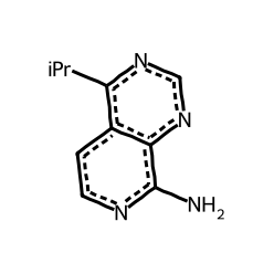 CC(C)c1ncnc2c(N)nccc12